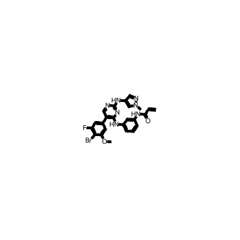 C=CC(=O)Nc1cccc(Nc2nc(Nc3cnn(C)c3)ncc2-c2cc(F)c(Br)c(OC)c2)c1